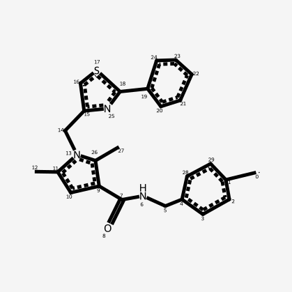 [CH2]c1ccc(CNC(=O)c2cc(C)n(Cc3csc(-c4ccccc4)n3)c2C)cc1